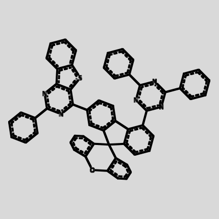 c1ccc(-c2nc(-c3ccccc3)nc(-c3cccc4c3-c3ccc(-c5nc(-c6ccccc6)nc6c5sc5ccccc56)cc3C43c4ccccc4Oc4ccccc43)n2)cc1